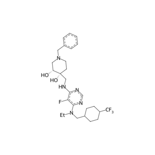 CCN(CC1CCC(C(F)(F)F)CC1)c1ncnc(NC[C@]2(O)CCN(Cc3ccccc3)C[C@H]2O)c1F